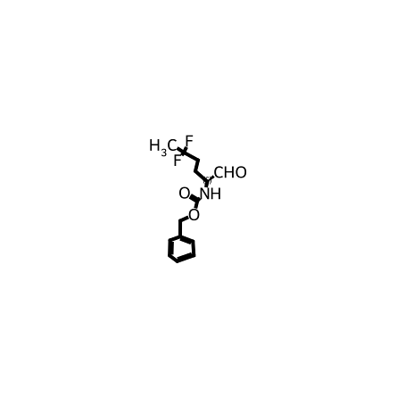 CC(F)(F)CC[C@@H](C=O)NC(=O)OCc1ccccc1